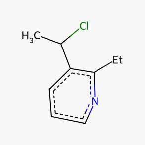 CCc1ncccc1C(C)Cl